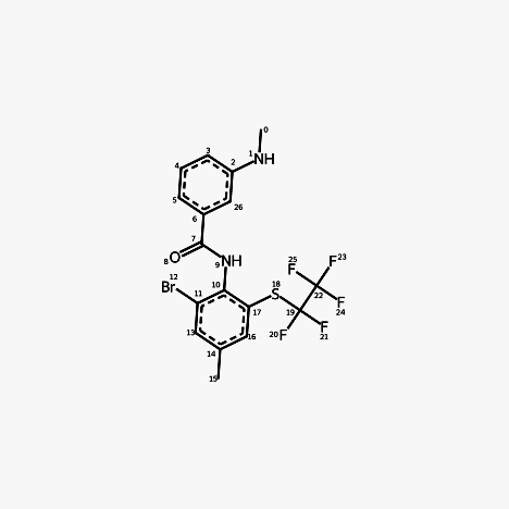 CNc1cccc(C(=O)Nc2c(Br)cc(C)cc2SC(F)(F)C(F)(F)F)c1